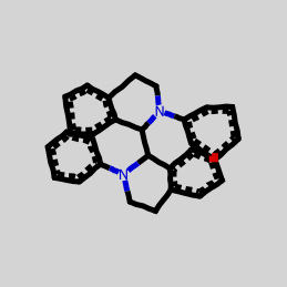 c1ccc(N2CCc3ccccc3C2C2c3ccccc3CCN2c2ccccc2)cc1